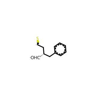 O=[C][C@H](C[C]=S)Cc1ccccc1